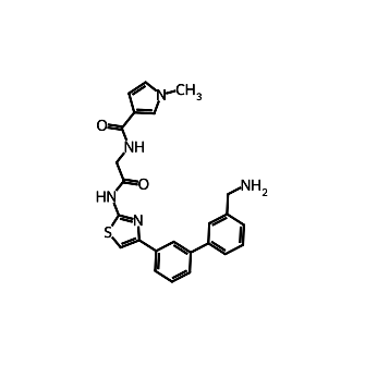 Cn1ccc(C(=O)NCC(=O)Nc2nc(-c3cccc(-c4cccc(CN)c4)c3)cs2)c1